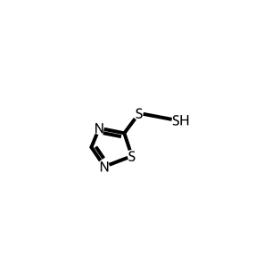 SSc1ncns1